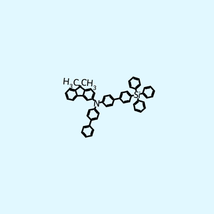 CC1(C)c2ccccc2-c2cc(N(c3ccc(-c4ccccc4)cc3)c3ccc(-c4ccc([Si](c5ccccc5)(c5ccccc5)c5ccccc5)cc4)cc3)ccc21